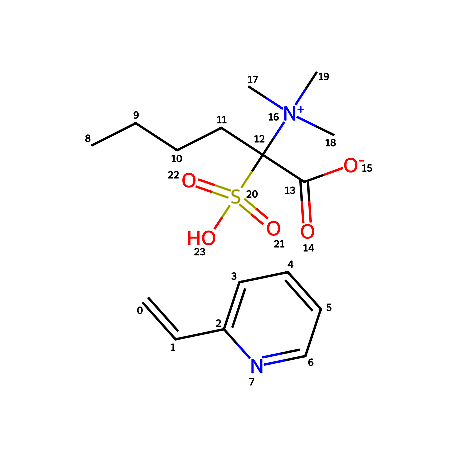 C=Cc1ccccn1.CCCCC(C(=O)[O-])([N+](C)(C)C)S(=O)(=O)O